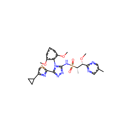 COc1cccc(OC)c1-n1c(NS(=O)(=O)[C@@H](C)[C@H](OC)c2ncc(C)cn2)nnc1-c1nc(C2CC2)cs1